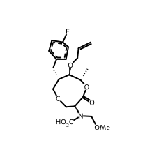 C=CCO[C@@H]1[C@@H](Cc2ccc(F)cc2)CCC[C@H](N(COC)C(=O)O)C(=O)O[C@H]1C